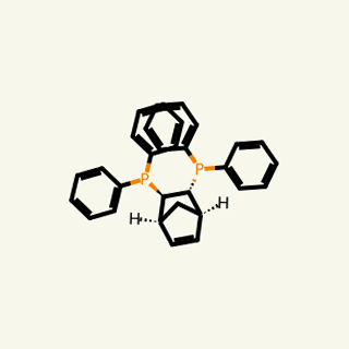 C1=C[C@H]2C[C@@H]1[C@@H](P(c1ccccc1)c1ccccc1)[C@@H]2P(c1ccccc1)c1ccccc1